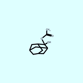 CC(=O)OC1(O)C2CC3CC(C2)CC1C3